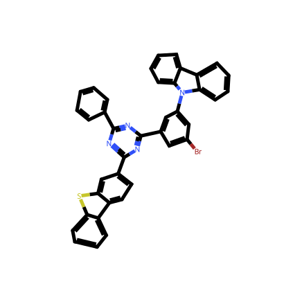 Brc1cc(-c2nc(-c3ccccc3)nc(-c3ccc4c(c3)sc3ccccc34)n2)cc(-n2c3ccccc3c3ccccc32)c1